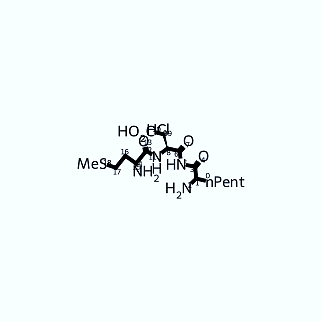 CCCCCC(N)C(=O)NC(=O)[C@H](CC(=O)O)NC(=O)[C@@H](N)CCSC.Cl